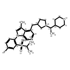 Cc1cn(-c2ccc(F)cc2S(=N)(=O)C(C)C)c2cncc(CC3CCN([C@H](C)C4CCOCC4)C3)c12